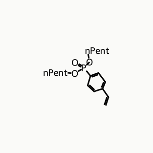 C=Cc1ccc(P(=O)(OCCCCC)OCCCCC)cc1